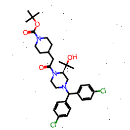 CC(C)(C)OC(=O)N1CCC(CC(=O)N2CCN(C(c3ccc(Cl)cc3)c3ccc(Cl)cc3)C[C@@H]2C(C)(C)O)CC1